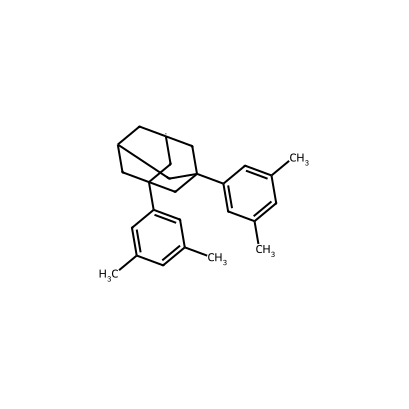 Cc1cc(C)cc(C23C[C]4CC(C2)CC(c2cc(C)cc(C)c2)(C4)C3)c1